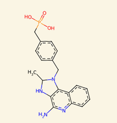 CC1Nc2c(N)nc3ccccc3c2N1Cc1ccc(CP(=O)(O)O)cc1